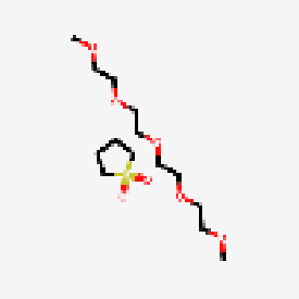 COCCOCCOCCOCCOC.O=S1(=O)CCCC1